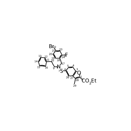 CCOC(=O)c1oc2ccc(SN(CCc3ccccc3)Cc3ccc(Br)cc3F)cc2c1C